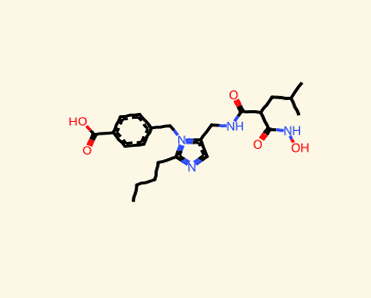 CCCCc1ncc(CNC(=O)C(CC(C)C)C(=O)NO)n1Cc1ccc(C(=O)O)cc1